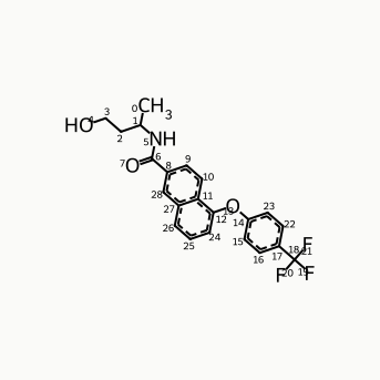 CC(CCO)NC(=O)c1ccc2c(Oc3ccc(C(F)(F)F)cc3)cccc2c1